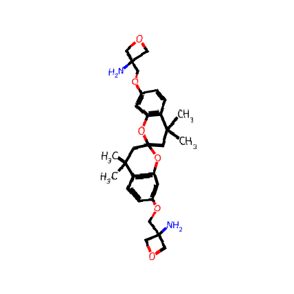 CC1(C)CC2(CC(C)(C)c3ccc(OCC4(N)COC4)cc3O2)Oc2cc(OCC3(N)COC3)ccc21